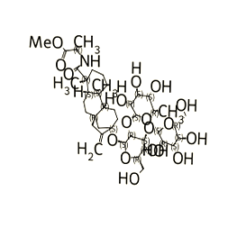 C=C1C[C@@]23CC[C@H]4[C@@](C)(CCC[C@@]4(C)C(=O)N[C@H](C)C(=O)OC)[C@@H]2CC[C@]1(O[C@@H]1O[C@H](CO)[C@@H](O)[C@H](O[C@@H]2O[C@H](CO)[C@@H](O)[C@H](O)[C@H]2O)[C@H]1O[C@@H]1O[C@H](C)[C@@H](O)[C@H](O)[C@H]1O)C3